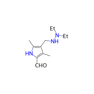 CCN(CC)NCc1c(C)[nH]c(C=O)c1C